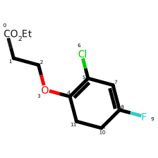 CCOC(=O)CCOC1=C(Cl)C=C(F)[CH]C1